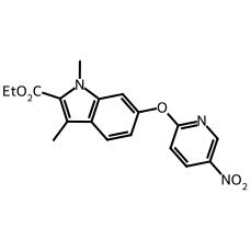 CCOC(=O)c1c(C)c2ccc(Oc3ccc([N+](=O)[O-])cn3)cc2n1C